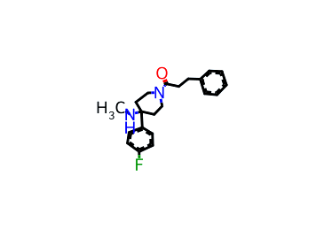 CNC1(c2ccc(F)cc2)CCN(C(=O)CCc2ccccc2)CC1